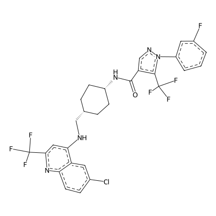 O=C(N[C@H]1CC[C@@H](CNc2cc(C(F)(F)F)nc3ccc(Cl)cc23)CC1)c1cnn(-c2cccc(F)c2)c1C(F)(F)F